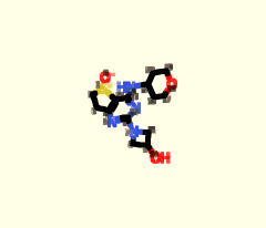 [O-][S+]1CCc2nc(N3CC(O)C3)nc(NC3CCOCC3)c21